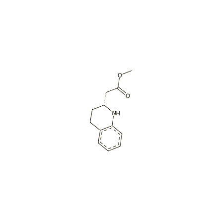 COC(=O)C[C@H]1CCc2ccccc2N1